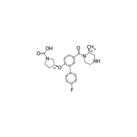 C[C@H]1CNCCN1C(=O)c1ccc(O[C@H]2CCN(C(=O)O)C2)c(-c2ccc(F)cc2)c1